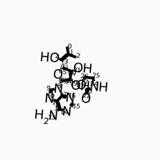 CC(C)=C(O)[C@H]1O[C@@H](n2cnc3c(N)ncnc32)[C@H](O)[C@@H]1O.O=C1NCCO1